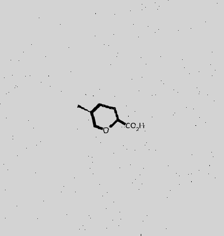 C[C@H]1CCC(C(=O)O)OC1